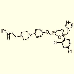 CC(C)NCCN1CCN(c2ccc(OC[C@@H]3CO[C@@](Cn4ccnc4)(c4ccc(Cl)cc4Cl)O3)cc2)CC1